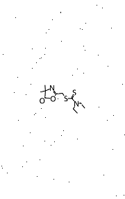 CCN(CC)C(=S)SCC1=NC(C)(C)C(=O)O1